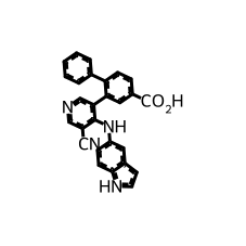 N#Cc1cncc(-c2cc(C(=O)O)ccc2-c2ccccc2)c1Nc1ccc2[nH]ccc2c1